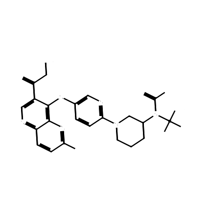 CCC(=O)c1cnc2ccc(Cl)nc2c1Nc1ccc(N2CCCC(N(C(=O)O)C(C)(C)C)C2)nc1